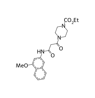 CCOC(=O)N1CCN(C(=O)CC(=O)Nc2cc(OC)c3ccccc3c2)CC1